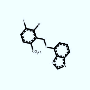 O=C(O)c1ccc(F)c(F)c1CSc1cccc2ncsc12